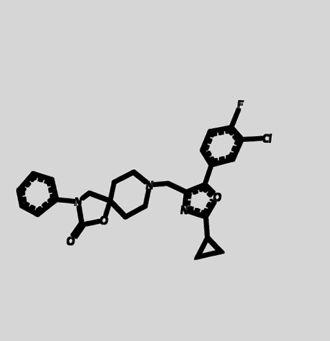 O=C1OC2(CCN(Cc3nc(C4CC4)oc3-c3ccc(F)c(Cl)c3)CC2)CN1c1ccccc1